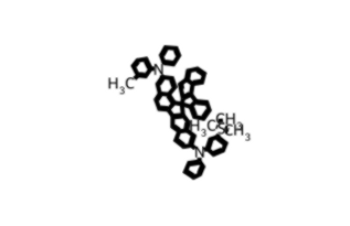 Cc1cccc(N(c2ccccc2)c2ccc3c4c(ccc3c2)-c2cc3ccc(N(c5ccccc5)c5cccc([Si](C)(C)C)c5)cc3cc2C42c3ccccc3-c3c2ccc2ccccc32)c1